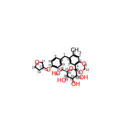 Cc1cc2c(cc1Cc1ccc(O[C@H]3CCOC3)cc1)[C@]1(OCO2)O[C@H](CO)[C@@H](O)[C@H](O)[C@H]1O